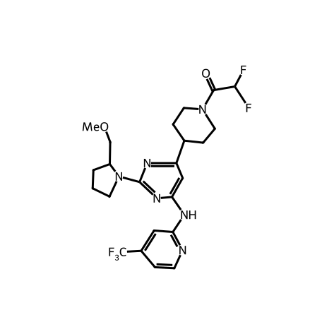 COCC1CCCN1c1nc(Nc2cc(C(F)(F)F)ccn2)cc(C2CCN(C(=O)C(F)F)CC2)n1